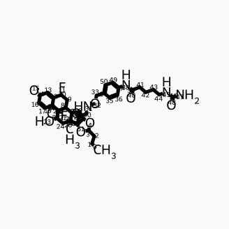 CCCC1OC2CC3C4C[C@H](F)C5=CC(=O)C=CC5(C)[C@@]4(F)C(O)CC3(C)C2(C(=O)CNOCc2ccc(NC(=O)CCCCNC(N)=O)cc2)O1